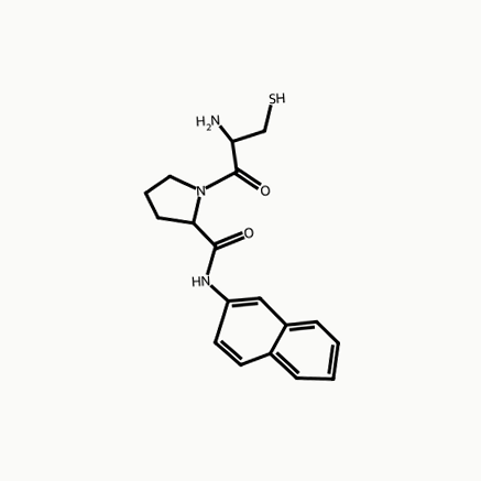 NC(CS)C(=O)N1CCCC1C(=O)Nc1ccc2ccccc2c1